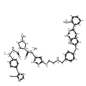 Cc1ncsc1-c1ccc([C@H](C)NC(=O)[C@@H]2C[C@@H](O)CN2C(=O)[C@@H](c2cc(OCCNCc3ccc(Cc4cc5cc(-c6ccccc6O)nnc5[nH]4)cc3)no2)C(C)C)cc1